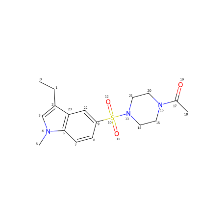 CCc1cn(C)c2ccc(S(=O)(=O)N3CCN(C(C)=O)CC3)cc12